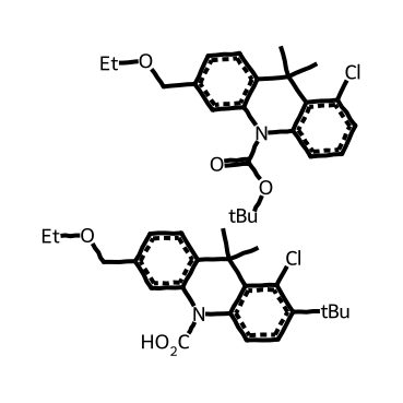 CCOCc1ccc2c(c1)N(C(=O)O)c1ccc(C(C)(C)C)c(Cl)c1C2(C)C.CCOCc1ccc2c(c1)N(C(=O)OC(C)(C)C)c1cccc(Cl)c1C2(C)C